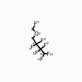 FCOCC(F)(F)C(F)(F)C(F)F